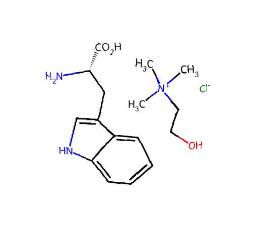 C[N+](C)(C)CCO.N[C@@H](Cc1c[nH]c2ccccc12)C(=O)O.[Cl-]